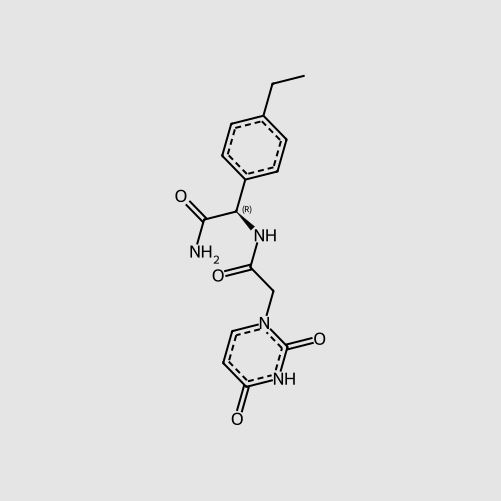 CCc1ccc([C@@H](NC(=O)Cn2ccc(=O)[nH]c2=O)C(N)=O)cc1